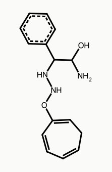 NC(O)C(NNOC1=CCC=CC=C1)c1ccccc1